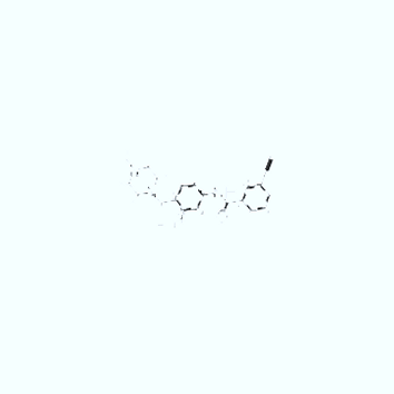 C#Cc1cccc(C(=O)Nc2ccc(CN3CCN(C)CC3)c(C(F)(F)F)c2)c1